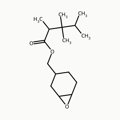 CC(C)C(C)(C)C(C)C(=O)OCC1CCC2OC2C1